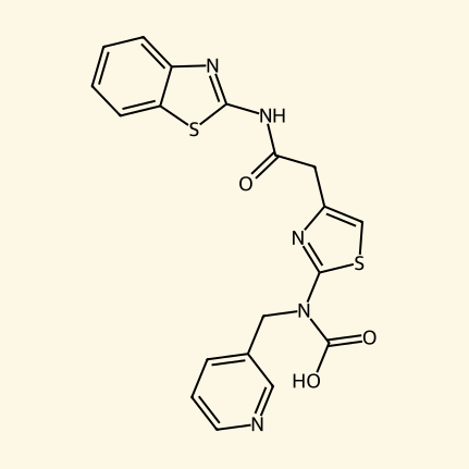 O=C(Cc1csc(N(Cc2cccnc2)C(=O)O)n1)Nc1nc2ccccc2s1